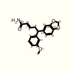 COc1cccc(C(C/C=C/C(N)=O)c2ccc3c(c2)OCO3)c1